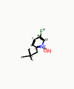 CC(C)(C)Cc1ccc(F)c[n+]1O